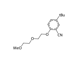 COCCOCCOc1ccc(C(C)(C)C)cc1C#N